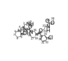 CNC[C@H](C[C@H]1CCCC[C@@H]1O)NC(=O)N1CCC[C@@H]([C@@H](OCCNC(=O)OC)c2cccc(Cl)c2)C1